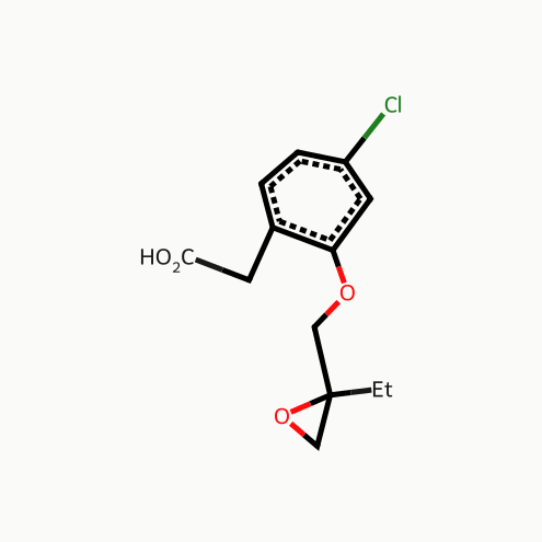 CCC1(COc2cc(Cl)ccc2CC(=O)O)CO1